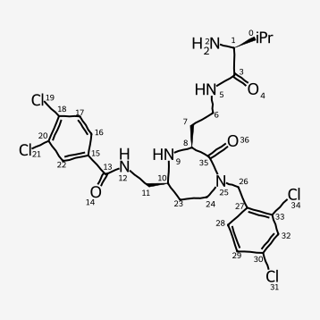 CC(C)[C@H](N)C(=O)NCC[C@@H]1N[C@H](CNC(=O)c2ccc(Cl)c(Cl)c2)CCN(Cc2ccc(Cl)cc2Cl)C1=O